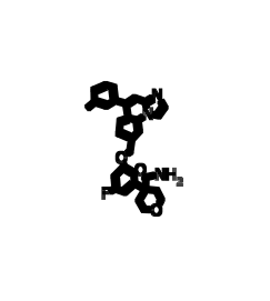 Cc1cccc(-c2cc3nccn3c3cc(COc4cc(F)cc(C5(C(N)=O)CCOCC5)c4)ccc23)c1